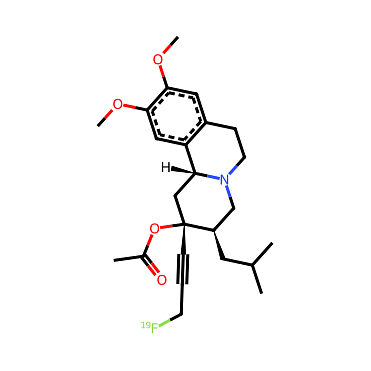 COc1cc2c(cc1OC)[C@H]1C[C@@](C#CC[19F])(OC(C)=O)[C@H](CC(C)C)CN1CC2